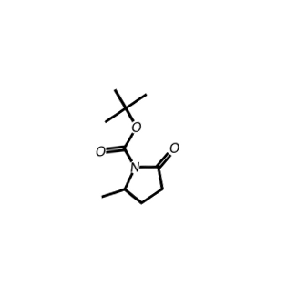 CC1CCC(=O)N1C(=O)OC(C)(C)C